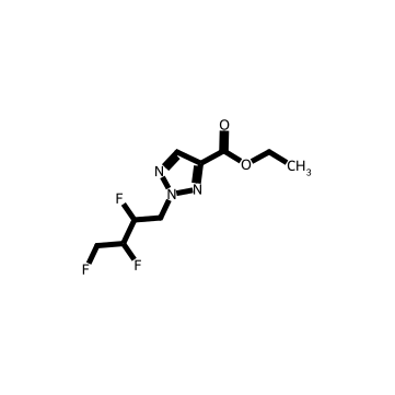 CCOC(=O)c1cnn(CC(F)C(F)CF)n1